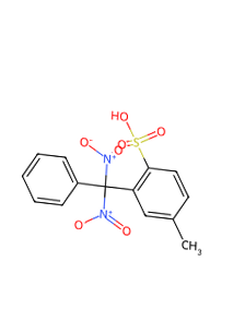 Cc1ccc(S(=O)(=O)O)c(C(c2ccccc2)([N+](=O)[O-])[N+](=O)[O-])c1